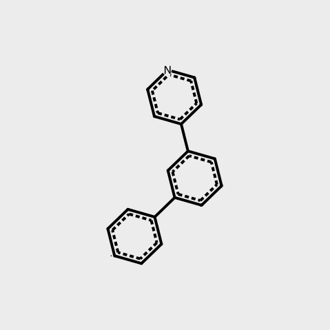 [c]1ccc(-c2cccc(-c3ccncc3)c2)cc1